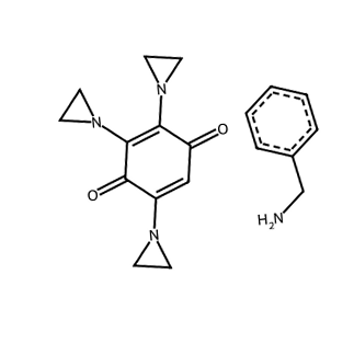 NCc1ccccc1.O=C1C=C(N2CC2)C(=O)C(N2CC2)=C1N1CC1